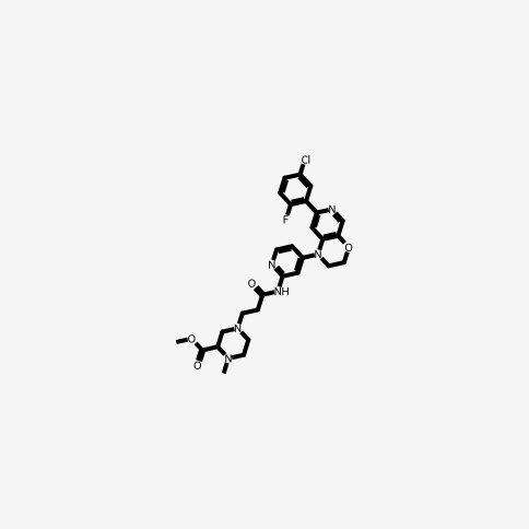 COC(=O)C1CN(CCC(=O)Nc2cc(N3CCOc4cnc(-c5cc(Cl)ccc5F)cc43)ccn2)CCN1C